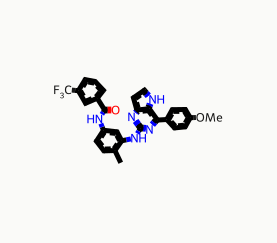 COc1ccc(-c2nc(Nc3cc(NC(=O)c4cccc(C(F)(F)F)c4)ccc3C)nc3cc[nH]c23)cc1